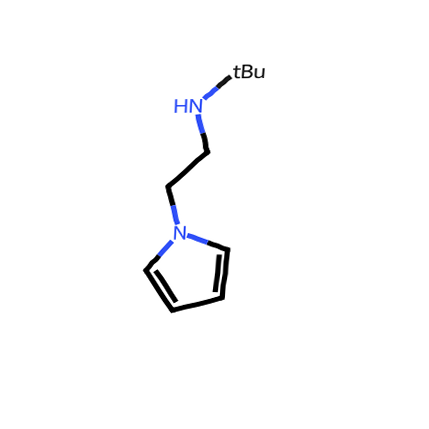 CC(C)(C)NCCn1cccc1